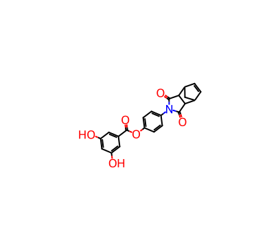 O=C(Oc1ccc(N2C(=O)C3C4C=CC(C4)C3C2=O)cc1)c1cc(O)cc(O)c1